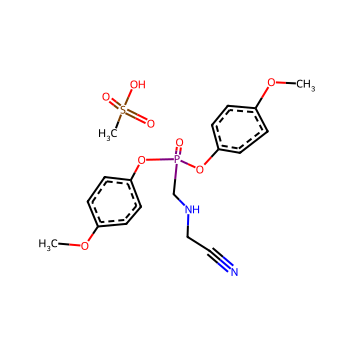 COc1ccc(OP(=O)(CNCC#N)Oc2ccc(OC)cc2)cc1.CS(=O)(=O)O